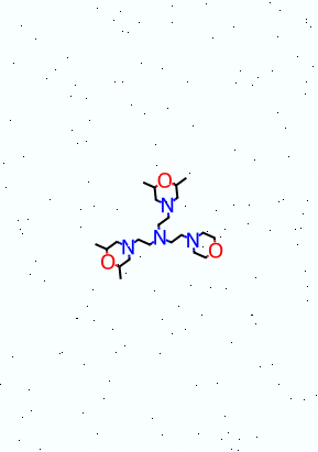 CC1CN(CCN(CCN2CCOCC2)CCN2CC(C)OC(C)C2)CC(C)O1